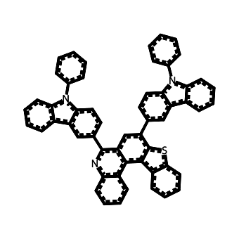 c1ccc(-n2c3ccccc3c3cc(-c4nc5ccccc5c5c4cc(-c4ccc6c(c4)c4ccccc4n6-c4ccccc4)c4sc6ccccc6c45)ccc32)cc1